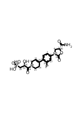 NC(=O)[C@H]1CN(c2ccc(C3=CCN(C(=O)[C@H](O)CP(=O)(O)O)CC3)c(F)c2)C(=O)O1